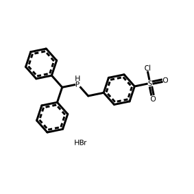 Br.O=S(=O)(Cl)c1ccc(CPC(c2ccccc2)c2ccccc2)cc1